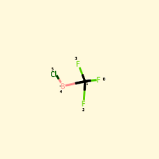 FC(F)(F)[B]Cl